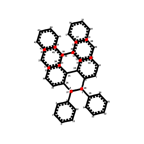 c1ccc(COc2cccc(P(c3ccccc3)c3ccccc3)c2-c2c(OCc3ccccc3)cccc2P(c2ccccc2)c2ccccc2)cc1